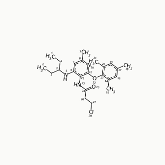 CCC(CC)Nc1cc(C)nc(Oc2c(C)cc(C)cc2C)c1NC(=O)CCCl